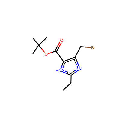 CCc1nc(CBr)c(C(=O)OC(C)(C)C)[nH]1